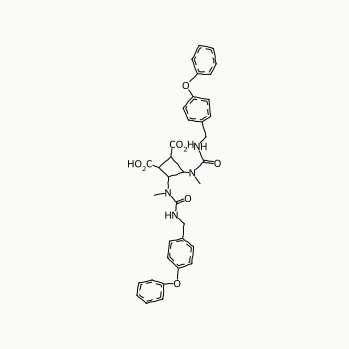 CN(C(=O)NCc1ccc(Oc2ccccc2)cc1)C1C(C(=O)O)C(C(=O)O)C1N(C)C(=O)NCc1ccc(Oc2ccccc2)cc1